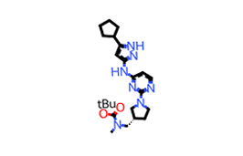 CN(C[C@H]1CCN(c2nccc(Nc3cc(C4CCCC4)[nH]n3)n2)C1)C(=O)OC(C)(C)C